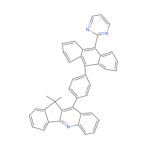 CC1(C)c2ccccc2-c2nc3ccccc3c(-c3ccc(-c4c5ccccc5c(-c5ncccn5)c5ccccc45)cc3)c21